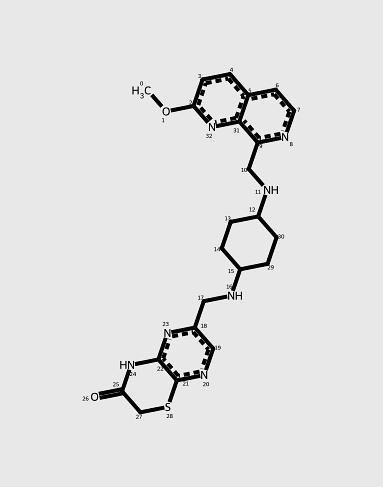 COc1ccc2ccnc(CNC3CCC(NCc4cnc5c(n4)NC(=O)CS5)CC3)c2n1